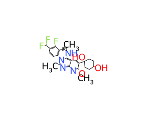 COc1nc2nc(C)nc(N[C@H](C)c3cccc(C(F)F)c3F)c2cc1C1(O)CCC(O)CC1